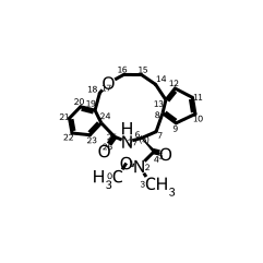 CON(C)C(=O)[C@@H]1Cc2ccccc2CCCOCc2ccccc2C(=O)N1